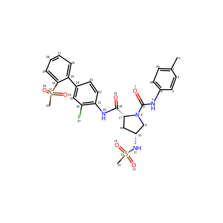 Cc1ccc(NC(=O)N2C[C@H](NS(C)(=O)=O)C[C@@H]2C(=O)Nc2ccc(-c3ccccc3S(C)(=O)=O)cc2F)cc1